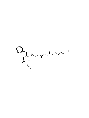 CCOCNC(C)CC(Cc1ccccc1)NC(=O)CNC(=O)CNC(=O)CCCCCN